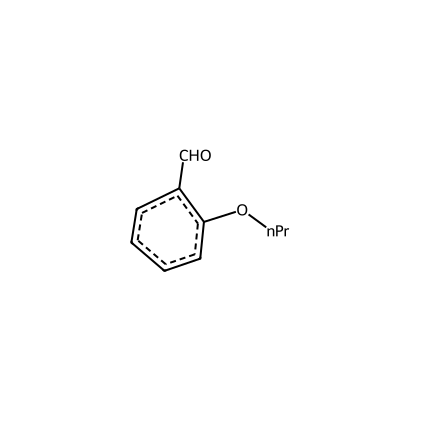 CCCOc1ccccc1C=O